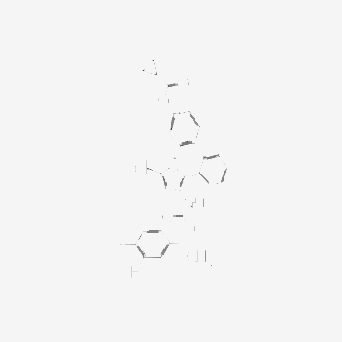 CC(OC(=O)Nc1cc(Cl)sc1-c1ccccc1-c1ccc(OC(=O)C2CC2)cc1)c1ccc(F)c(F)c1